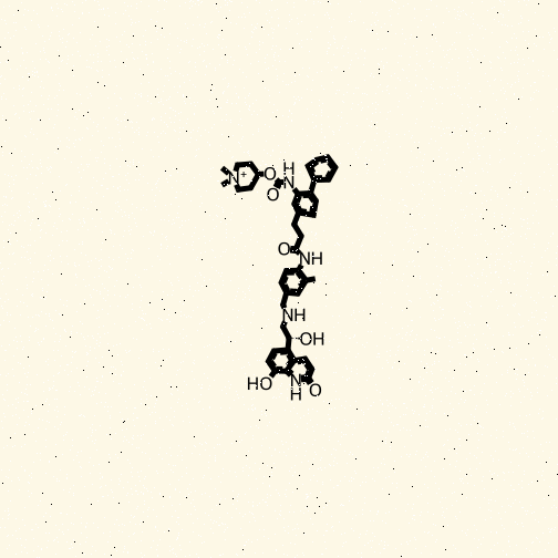 Cc1cc(CNC[C@H](O)c2ccc(O)c3[nH]c(=O)ccc23)ccc1NC(=O)CCc1ccc(-c2ccccc2)c(NC(=O)OC2CC[N+](C)(C)CC2)c1